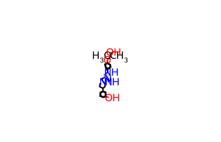 CC(C)(O)COc1ccc(N/C=C(/CN2CCC(c3cccc(O)c3)CC2)N=N)cc1